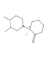 CC1CCN([C@@]2(C)CCCCC2=O)CC1C